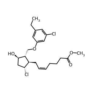 CCc1cc(Cl)cc(OC[C@@H]2[C@@H](C/C=C\CCCC(=O)OC)[C@H](Cl)C[C@H]2O)c1